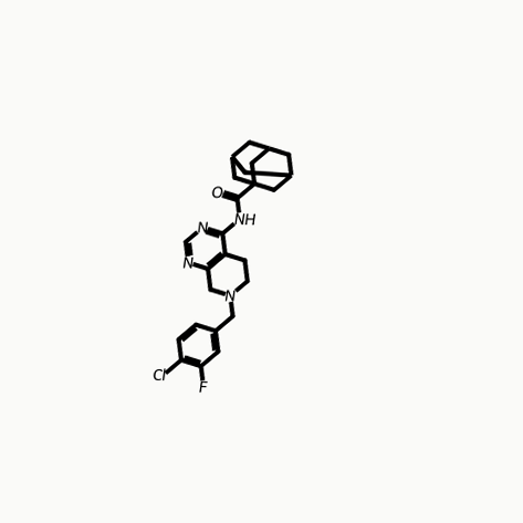 O=C(Nc1ncnc2c1CCN(Cc1ccc(Cl)c(F)c1)C2)C12CC3CC(CC(C3)C1)C2